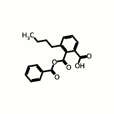 CCCCc1cccc(C(=O)O)c1C(=O)OC(=O)c1ccccc1